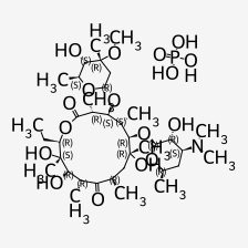 CC[C@H]1OC(=O)[C@H](C)[C@@H](O[C@H]2C[C@@](C)(OC)[C@@H](O)[C@H](C)O2)[C@H](C)[C@@H](O[C@@H]2O[C@H](C)C[C@H](N(C)C)[C@H]2O)[C@](C)(O)C[C@@H](C)C(=O)[C@H](C)[C@@H](O)[C@]1(C)O.O=P(O)(O)O